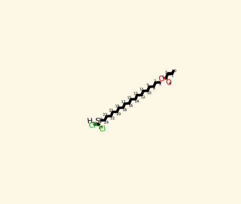 CC=CC(=O)OCCCCCCCCCCCCCCCCCCC[SiH2]C(Cl)Cl